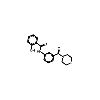 O=C(Nc1cccc(C(=O)N2CCOCC2)c1)c1ccccc1O